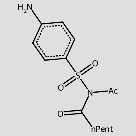 CCCCCC(=O)N(C(C)=O)S(=O)(=O)c1ccc(N)cc1